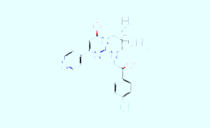 CC1(C)CN(CC(=O)c2ccc(Cl)cc2)c2nc(-c3ccncc3)cc(=O)n2C1